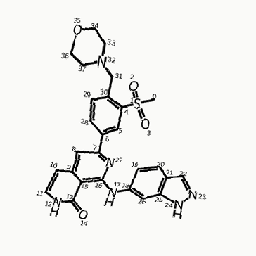 CS(=O)(=O)c1cc(-c2cc3cc[nH]c(=O)c3c(Nc3ccc4cn[nH]c4c3)n2)ccc1CN1CCOCC1